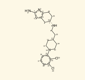 Nc1nc2c(s1)C[C@@H](NCCC1CCN(c3cccc(Cl)c3Cl)CC1)CC2